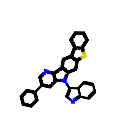 C1=CC2=NC=C(n3c4cc5sc6ccccc6c5cc4c4ncc(-c5ccccc5)cc43)C2C=C1